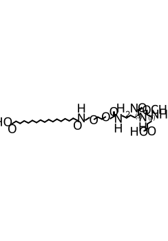 CN[C@@H](CCC(=O)O)C(=O)N[C@@H](CCCCNC(=O)COCCOCCNC(=O)CCCCCCCCCCCCCCCC(=O)O)C(N)=O